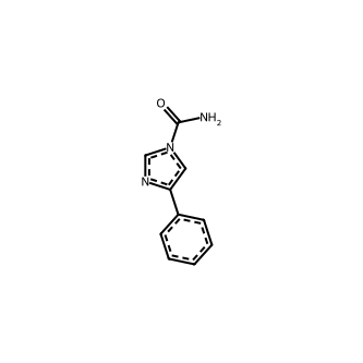 NC(=O)n1cnc(-c2ccccc2)c1